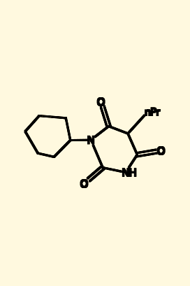 CCCC1C(=O)NC(=O)N(C2CCCCC2)C1=O